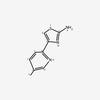 Cc1ccc(-c2csc(N)n2)nc1